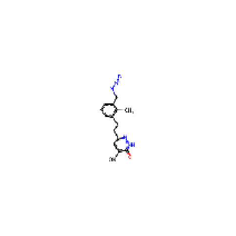 Cc1c(CCc2cc(N=O)c(=O)[nH]n2)cccc1CN=[N+]=[N-]